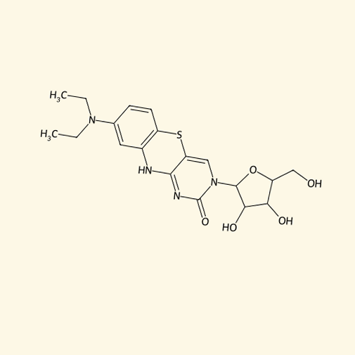 CCN(CC)c1ccc2c(c1)Nc1nc(=O)n(C3OC(CO)C(O)C3O)cc1S2